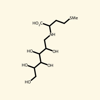 CSCCC(NCC(O)C(O)C(O)C(O)CO)C(=O)O